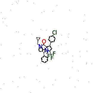 CN(CC1CC1)C(=O)c1c(-c2ccc(Cl)cc2)cc(C(F)(F)F)n1Cc1ccccc1